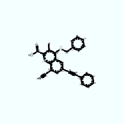 Cc1c(C(=O)O)nc2c(C#N)cc(C#Cc3ccccc3)cc2c1OCc1ccccc1